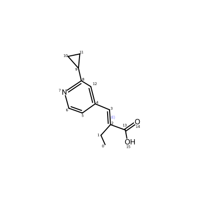 CC/C(=C\c1ccnc(C2CC2)c1)C(=O)O